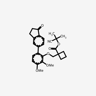 COc1ccc(-c2ccc3c(c2)CCC3=O)c(OCC2(C(=O)OC(C)(C)C#N)CCC2)c1OC